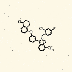 O=C1CCCc2c(Oc3cccc(-c4c5cccc(C(F)(F)F)c5nn4Cc4ccc(F)cc4Cl)c3)cccc21